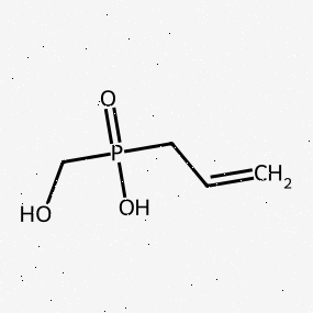 C=CCP(=O)(O)CO